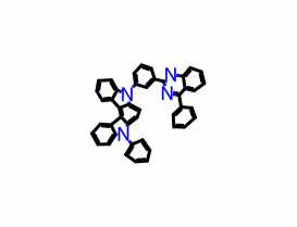 c1ccc(-c2nc(-c3cccc(-n4c5ccccc5c5c6c7ccccc7n(-c7ccccc7)c6ccc54)c3)nc3ccccc23)cc1